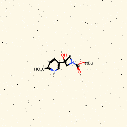 CC(C)(C)OC(=O)N1CC(O)(c2ccc(C(=O)O)nc2)C1